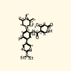 CCN(CC)c1ncc(-c2cc(NC(=O)c3c[nH]c(=O)cc3C(F)(F)F)c(N3CC(C)N(C)C(C)C3)cc2F)cn1